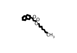 CC=CCCC=CCOC(=O)CC(=O)c1ccc2ccccc2c1